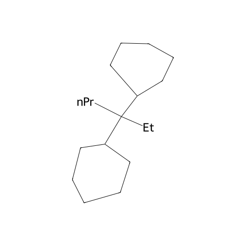 CCCC(CC)(C1CCCCC1)C1CCCCC1